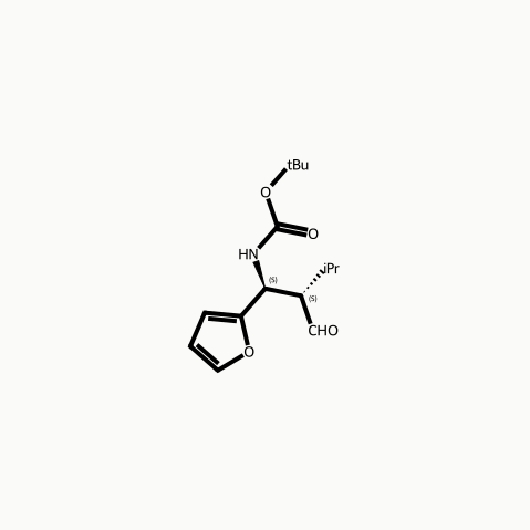 CC(C)[C@H](C=O)[C@H](NC(=O)OC(C)(C)C)c1ccco1